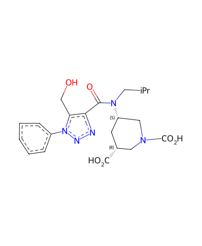 CC(C)CN(C(=O)c1nnn(-c2ccccc2)c1CO)[C@H]1C[C@@H](C(=O)O)CN(C(=O)O)C1